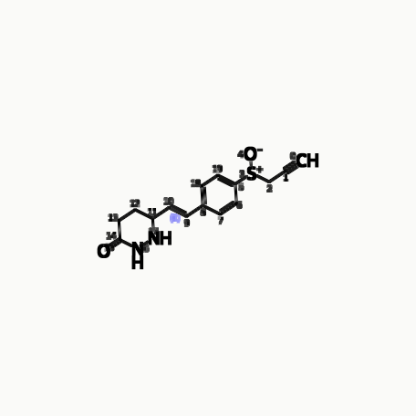 C#CC[S+]([O-])c1ccc(/C=C/C2CCC(=O)NN2)cc1